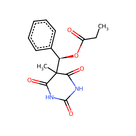 CCC(=O)O[C@H](c1ccccc1)C1(C)C(=O)NC(=O)NC1=O